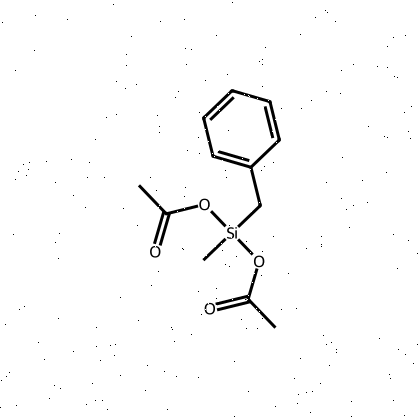 CC(=O)O[Si](C)(Cc1ccccc1)OC(C)=O